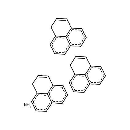 C1=Cc2cccc3cccc(c23)C1.C1=Cc2cccc3cccc(c23)C1.C1=Cc2cccc3cccc(c23)C1.N